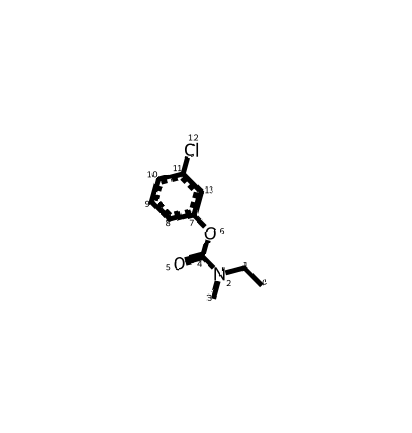 CCN(C)C(=O)Oc1cccc(Cl)c1